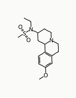 CCN(C1CCN2CCc3cc(OC)ccc3C2C1)S(C)(=O)=O